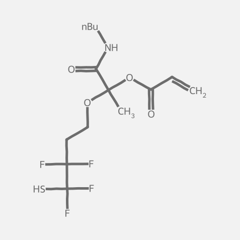 C=CC(=O)OC(C)(OCCC(F)(F)C(F)(F)S)C(=O)NCCCC